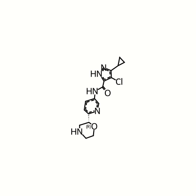 O=C(Nc1ccc([C@H]2CNCCO2)nc1)c1[nH]nc(C2CC2)c1Cl